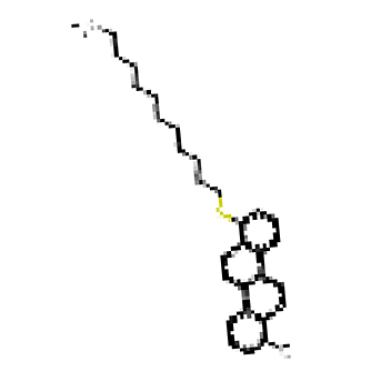 CCCCCCCCCCCCSc1cccc2c1ccc1c3cccc(C)c3ccc21